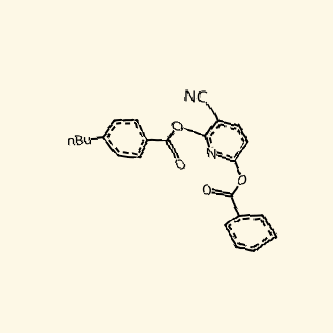 [CH2]CCCc1ccc(C(=O)Oc2nc(OC(=O)c3ccccc3)ccc2C#N)cc1